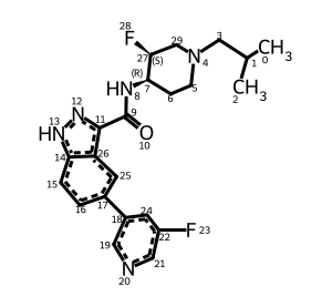 CC(C)CN1CC[C@@H](NC(=O)c2n[nH]c3ccc(-c4cncc(F)c4)cc23)[C@@H](F)C1